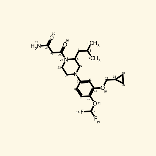 CC(C)CC1CN(c2ccc(OC(F)F)c(OCC3CC3)c2)CCN1C(=O)CC(N)=O